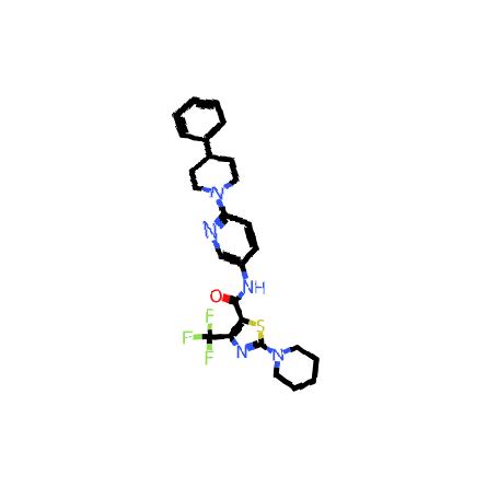 O=C(Nc1ccc(N2CCC(c3ccccc3)CC2)nc1)c1sc(N2CCCCC2)nc1C(F)(F)F